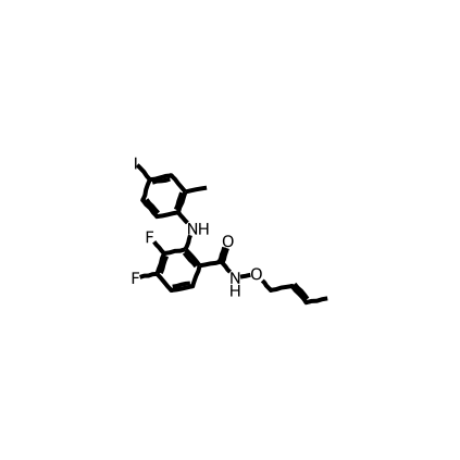 CC=CCONC(=O)c1ccc(F)c(F)c1Nc1ccc(I)cc1C